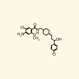 COc1cc(N)c(Cl)cc1C(=O)NCC1CCN(CCC(O)c2ccc(Cl)cc2)CC1